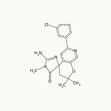 CN1C(=O)C2(CC(C)(C)Oc3cnc(-c4cccc(Cl)c4)cc32)N=C1N